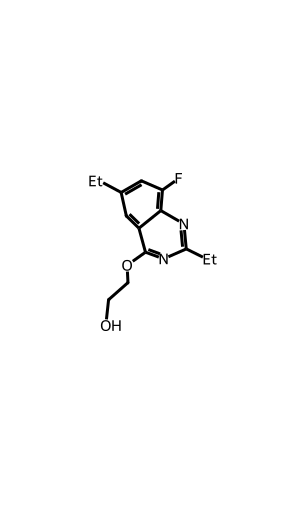 CCc1cc(F)c2nc(CC)nc(OCCO)c2c1